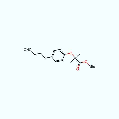 CC(C)(C)OC(=O)C(C)(C)Oc1ccc(CCCC=O)cc1